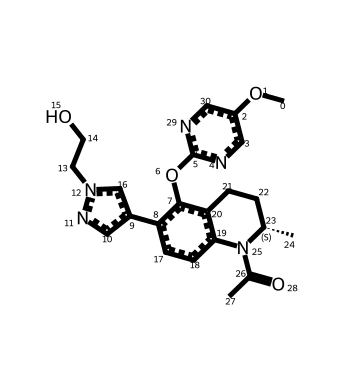 COc1cnc(Oc2c(-c3cnn(CCO)c3)ccc3c2CC[C@H](C)N3C(C)=O)nc1